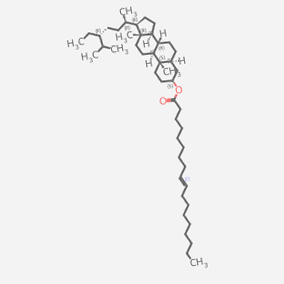 CCCCCCCC/C=C/CCCCCCCC(=O)O[C@H]1CC[C@@]2(C)[C@@H](CC[C@@H]3[C@@H]2CC[C@]2(C)[C@@H]([C@H](C)CC[C@@H](CC)C(C)C)CC[C@@H]32)C1